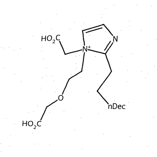 CCCCCCCCCCCCC1=NC=C[N+]1(CCOCC(=O)O)CC(=O)O